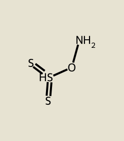 NO[SH](=S)=S